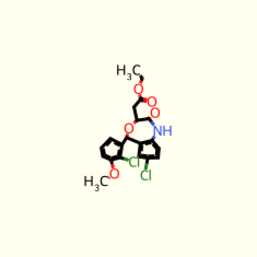 CCOC(=O)CC1OC(c2cccc(OC)c2Cl)c2cc(Cl)ccc2NC1=O